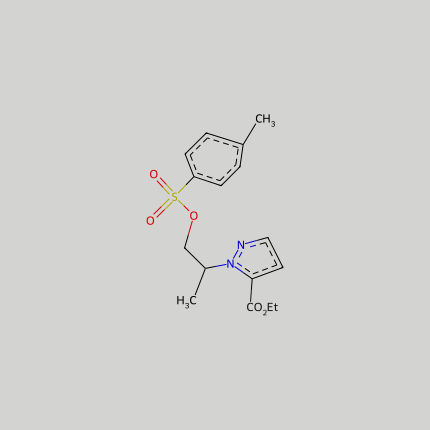 CCOC(=O)c1ccnn1C(C)COS(=O)(=O)c1ccc(C)cc1